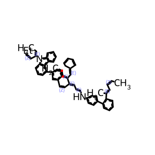 C=C/C=C(\C=C1\C=CC=CC1)C(/C=C\c1cccc(-c2cccc3c2c2ccccc2n3C(/C=C\CC)=C/C)c1)=C/C=C/Nc1ccc(-c2ccccc2/C(C)=C/C=C\C)cc1